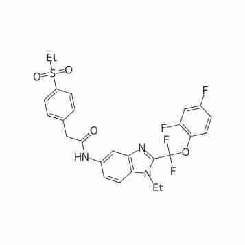 CCn1c(C(F)(F)Oc2ccc(F)cc2F)nc2cc(NC(=O)Cc3ccc(S(=O)(=O)CC)cc3)ccc21